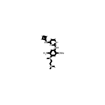 COc1cc(N(C)CCN(C)C)c(N)cc1Nc1nccc(NC23CC(C2)C3)n1